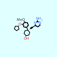 COc1ccc([C@]2(C#Cc3ccnc(N)n3)CC[C@H](O)CC2)cc1OC1CCCC1